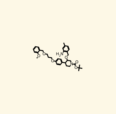 COc1ccccc1COCCCOc1ccc(C2CCN(C(=O)OC(C)(C)C)CC2OCc2ccc(C)cc2N)cc1